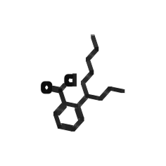 CCCCCC(CCC)c1ccccc1C(=O)Cl